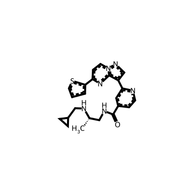 C[C@@H](CNC(=O)c1ccnc(-c2cnn3ccc(-c4cccs4)nc23)c1)NCC1CC1